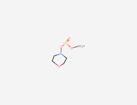 O=[PH](ON1CCOCC1)OS(=O)(=O)O